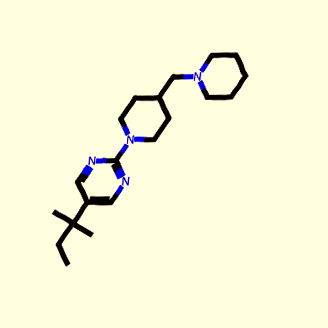 CCC(C)(C)c1cnc(N2CCC(CN3CCCCC3)CC2)nc1